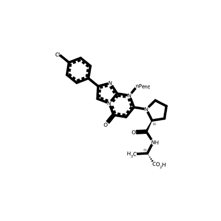 CCCCCn1c(N2CCC[C@H]2C(=O)N[C@@H](C)C(=O)O)cc(=O)n2cc(-c3ccc(Cl)cc3)nc12